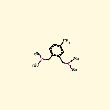 CC(C)(C)P(Cc1ccc(C(F)(F)F)cc1CP(C(C)(C)C)C(C)(C)C)C(C)(C)C